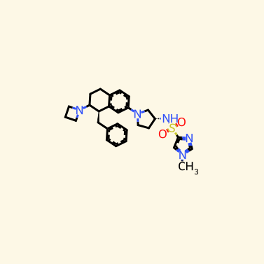 Cn1cnc(S(=O)(=O)N[C@@H]2CCN(c3ccc4c(c3)[C@@H](Cc3ccccc3)C(N3CCC3)CC4)C2)c1